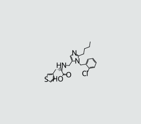 CCCCc1ncc(CN[C@@H](Cc2ccsc2)C(=O)O)n1Cc1ccccc1Cl